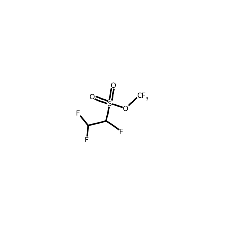 O=S(=O)(OC(F)(F)F)C(F)C(F)F